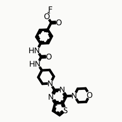 O=C(Nc1ccc(C(=O)OF)cc1)NC1CCN(c2nc(N3CCOCC3)c3sccc3n2)CC1